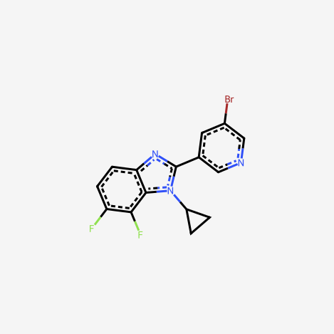 Fc1ccc2nc(-c3cncc(Br)c3)n(C3CC3)c2c1F